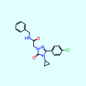 O=C(Cn1nc(-c2ccc(Cl)cc2)n(C2CC2)c1=O)NCc1ccccc1